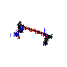 COC[C@H]1CN[C@H](C)CN1CC(=O)N1CC(C)(C)c2nc(CN(C)CCOCCOCCOCCOCCOCCOCCOCCN[C@H](Cc3cccc(F)c3)C(=O)Nc3ccc(-c4ccncc4)cc3)c(Cc3ccc(F)cc3)cc21